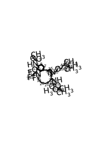 COC(=O)Nc1ccc2c(c1)N(C(=O)C(F)(F)F)CCCCC[C@H](NC(=O)OC(C)(C)C)c1nc-2cn1COCC[Si](C)(C)C